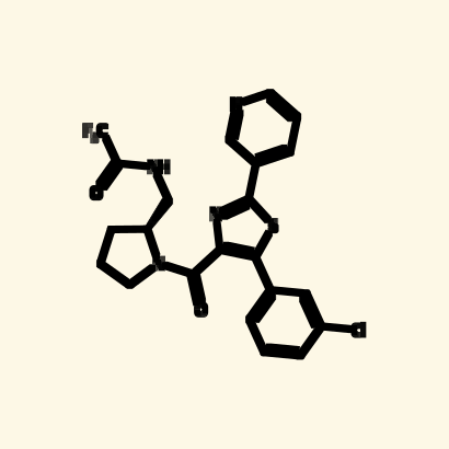 O=C(c1nc(-c2cccnc2)sc1-c1cccc(Cl)c1)N1CCC[C@H]1CNC(=O)C(F)(F)F